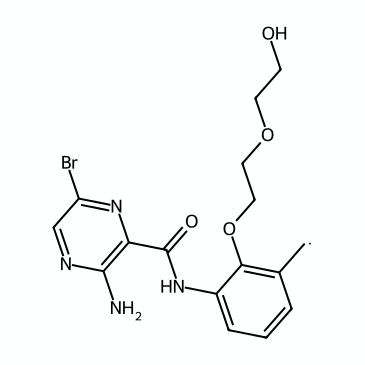 [CH2]c1cccc(NC(=O)c2nc(Br)cnc2N)c1OCCOCCO